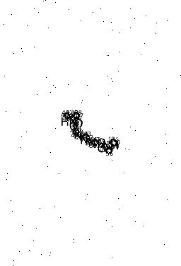 O=C(Nc1ccccc1-c1ccccc1)OC1CCN(Cc2cccc(CN3CCC(OC(=O)Nc4ccccc4-c4ccccc4)CC3)n2)CC1